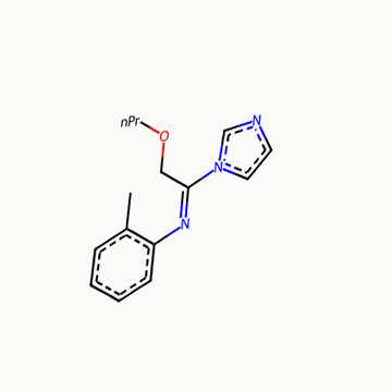 CCCOCC(=Nc1ccccc1C)n1ccnc1